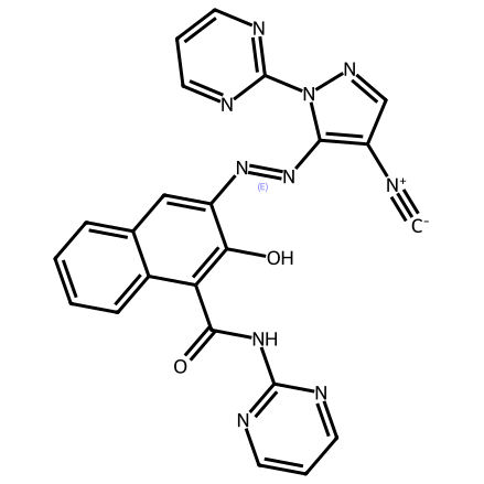 [C-]#[N+]c1cnn(-c2ncccn2)c1/N=N/c1cc2ccccc2c(C(=O)Nc2ncccn2)c1O